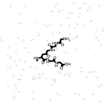 CNC(CC(=O)CNC(=O)CNC(=O)CN)C(=O)NCC(=O)NCC(=O)O